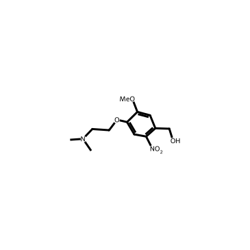 COc1cc(CO)c([N+](=O)[O-])cc1OCCN(C)C